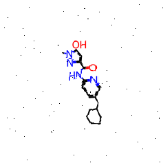 Cn1nc(C(=O)Nc2ccc(CC3CCCCC3)cn2)cc1O